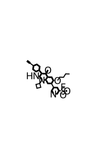 C#Cc1ccc2c(c1)[nH]c1c2c(=O)c2cc(OCCCC)c(-c3cncc(S(=O)(=O)F)c3)cc2n1C1CCC1